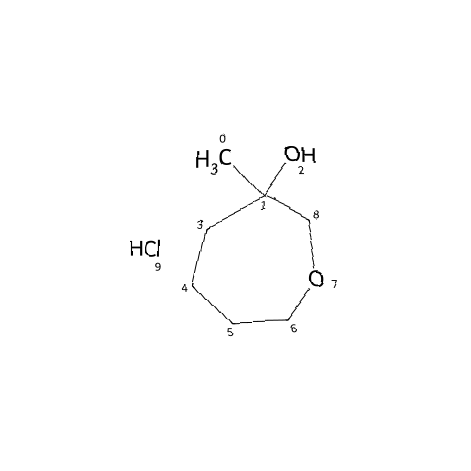 CC1(O)CCCCOC1.Cl